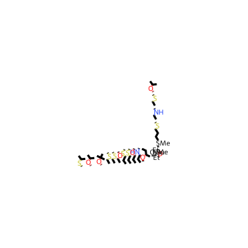 CCC(C)OC.CCCCSC.CCCNC.CCCOC.CCCSC.CCCSC.CCNC.CCOC.CCOCC.CCSC.CCSC.CCSC.CNC.COC(C)(C)C.COC(C)C.COC(C)C.COCC(C)C.CSC.CSC(C)C